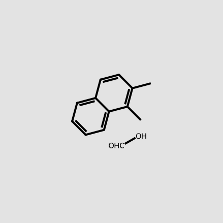 Cc1ccc2ccccc2c1C.O=CO